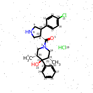 C[C@@H]1CN(C(=O)[C@@H]2CNCC2c2ccc(Cl)cc2)C[C@H](C)C1(O)c1ccccc1.Cl